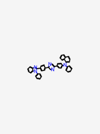 c1ccc(N(c2ccc(-c3cnc(-c4ccc(-c5nc6ccccc6n5-c5ccccc5)cc4)cn3)cc2)c2cccc3ccccc23)cc1